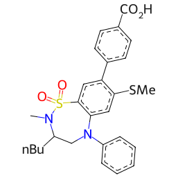 CCCCC1CN(c2ccccc2)c2cc(SC)c(-c3ccc(C(=O)O)cc3)cc2S(=O)(=O)N1C